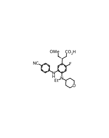 CCN(c1cc(F)c([C@@H](COC)CC(=O)O)cc1Nc1ccc(C#N)cc1)C1CCOCC1